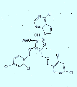 CO[C@]1(O)[C@H](OCc2ccc(Cl)cc2Cl)[C@@H](COCc2ccc(Cl)cc2Cl)O[C@H]1n1ccc2c(Cl)ncnc21